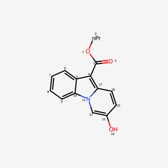 CCCOC(=O)c1c2ccccc2n2cc(O)ccc12